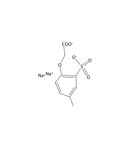 Cc1ccc(OCC(=O)[O-])c(S(=O)(=O)[O-])c1.[Na+].[Na+]